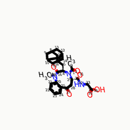 CC(=O)N1[C@H](CC23CC4CC(CC(C4)C2)C3)C(=O)N(C)c2ccccc2C(=O)C[C@H]1C(=O)NCC(=O)O